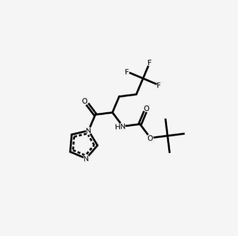 CC(C)(C)OC(=O)NC(CCC(F)(F)F)C(=O)n1ccnc1